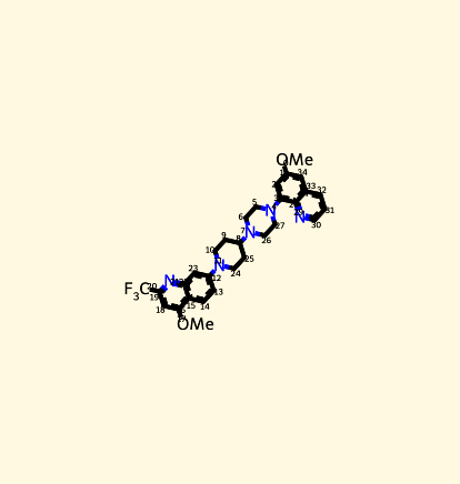 COc1cc(N2CCN(C3CCN(c4ccc5c(OC)cc(C(F)(F)F)nc5c4)CC3)CC2)c2ncccc2c1